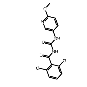 COc1ccc(NC(=O)NC(=O)c2c(Cl)cccc2Cl)cn1